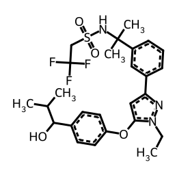 CCn1nc(-c2cccc(C(C)(C)NS(=O)(=O)CC(F)(F)F)c2)cc1Oc1ccc(C(O)C(C)C)cc1